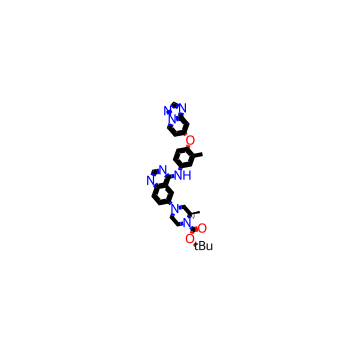 Cc1cc(Nc2ncnc3ccc(N4CCN(C(=O)OC(C)(C)C)[C@H](C)C4)cc23)ccc1Oc1ccn2ncnc2c1